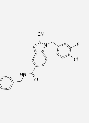 N#Cc1cc2cc(C(=O)NCc3ccccc3)ccc2n1Cc1ccc(Cl)c(F)c1